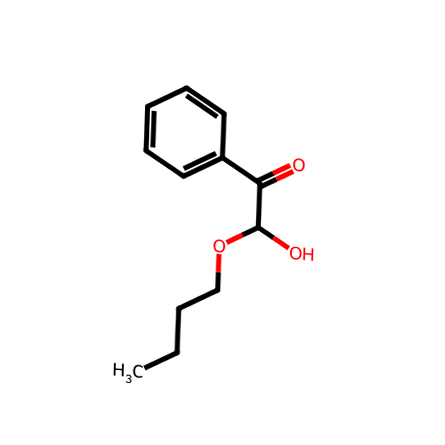 CCCCOC(O)C(=O)c1ccccc1